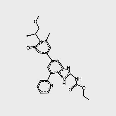 CCOC(=O)Nc1nc2cc(-c3cc(C)n([C@@H](C)COC)c(=O)c3)cc(-c3ccccn3)c2[nH]1